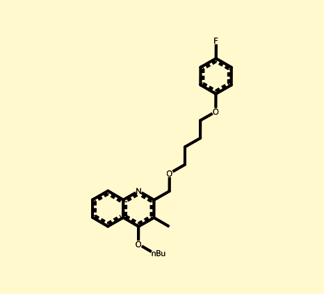 CCCCOc1c(C)c(COCCCCOc2ccc(F)cc2)nc2ccccc12